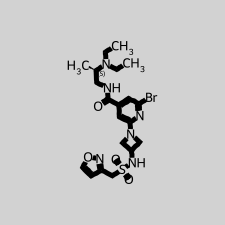 CCN(CC)[C@@H](C)CNC(=O)c1cc(Br)nc(N2CC(NS(=O)(=O)Cc3ccon3)C2)c1